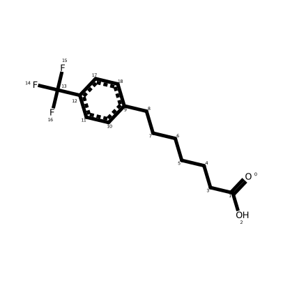 O=C(O)CCCCCCc1ccc(C(F)(F)F)cc1